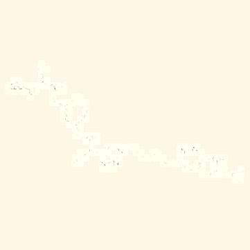 CC(C)(C)OC(=O)NCc1cccc(CNC(=O)c2cn(CCCCc3cc4cc(C5CC5)[nH]c4nn3)nn2)c1